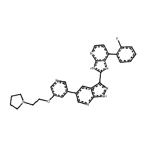 Fc1ccccc1-c1ccnc2[nH]c(-c3n[nH]c4ncc(-c5cncc(OCCN6CCCC6)c5)cc34)nc12